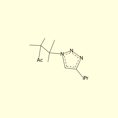 CC(=O)C(C)(C)C(C)(C)n1cc(C(C)C)nn1